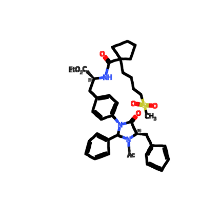 CCOC(=O)[C@H](Cc1ccc(N2C(=O)[C@@H](Cc3ccccc3)N(C(C)=O)C2c2ccccc2)cc1)NC(=O)C1(CCCCS(C)(=O)=O)CCCC1